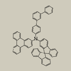 c1ccc(-c2cccc(-c3ccc(N(c4ccc5c(c4)C4(c6ccccc6-c6ccccc64)c4ccccc4-5)c4ccc5c6ccccc6c6ccccc6c5c4)cc3)c2)cc1